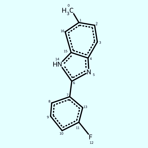 Cc1[c]cc2nc(-c3cccc(F)c3)[nH]c2c1